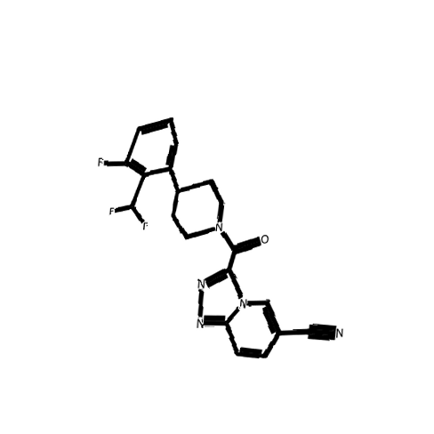 N#Cc1ccc2nnc(C(=O)N3CCC(c4cccc(F)c4C(F)F)CC3)n2c1